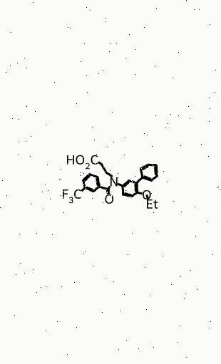 CCOc1ccc(N(CCCC(=O)O)C(=O)c2cccc(C(F)(F)F)c2)cc1-c1ccccc1